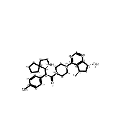 C[C@@H]1C[C@@H](O)c2ncnc(N3CCN(C(=O)[C@@H](c4ccc(Cl)cc4)[C@H]4NCCC45CCCC5)CC3)c21